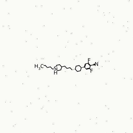 CCCCC[SiH]1CCC(CCCC[C@H]2CC[C@H](c3cc(F)c(C#N)c(F)c3)CC2)CC1